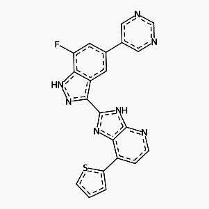 Fc1cc(-c2cncnc2)cc2c(-c3nc4c(-c5cccs5)ccnc4[nH]3)n[nH]c12